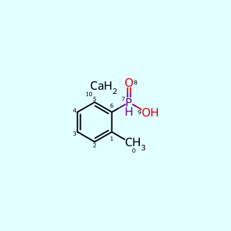 Cc1ccccc1[PH](=O)O.[CaH2]